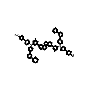 Cc1cc(-c2ccc3c(c2)C2(CC3)CCc3ccc(-c4cc(C)cc(N(c5ccc(-c6ccc(C(C)C)cc6)cc5)c5ccc(-c6cccc(-c7ccccc7)c6)cc5)c4)cc32)cc(N(c2ccc(-c3ccc(C(C)C)cc3)cc2)c2ccc(-c3cccc(-c4ccccc4)c3)cc2)c1